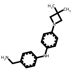 CC1(C)CN(c2ccc(Nc3ccc(CN)cc3)cc2)C1